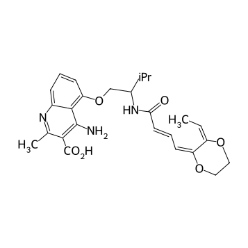 C/C=C1/OCCO/C1=C/C=C/C(=O)NC(COc1cccc2nc(C)c(C(=O)O)c(N)c12)C(C)C